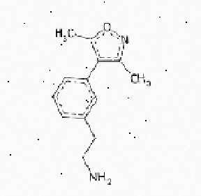 Cc1noc(C)c1-c1cccc(CCN)c1